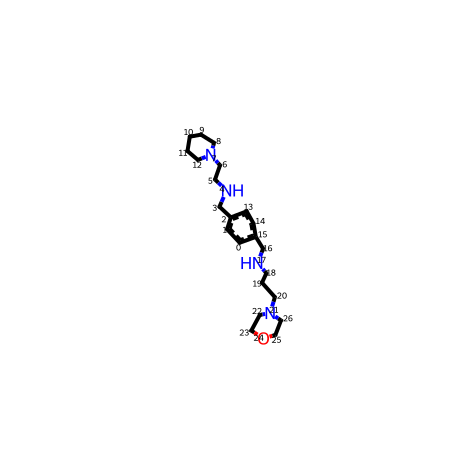 c1cc(CNCCN2CCCCC2)ccc1CNCCCN1CCOCC1